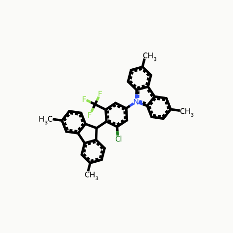 Cc1ccc2c(c1)-c1cc(C)ccc1C2c1c(Cl)cc(-n2c3ccc(C)cc3c3cc(C)ccc32)cc1C(F)(F)F